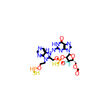 Nc1nc2c(ncn2[C@@H]2O[C@H](COC=O)C(F)(F)[C@H]2OP(=O)(S)OCc2nc3cncnc3n2CCOPS)c(=O)[nH]1